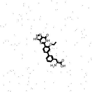 CCOc1cc(-c2cccc(C[C@@H](N)C(=O)O)c2)ccc1-c1nc2[nH]nnc2c(=O)[nH]1